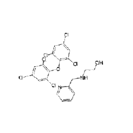 Clc1cc(Cl)c(Oc2c(Cl)cc(Cl)cc2Cl)c(Cl)c1.OCCNCc1ccccn1